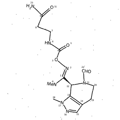 CN/C(=N\OC(=O)NCCC(N)=O)[C@@H]1c2c(cnn2C)CCN1C=O